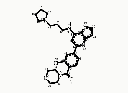 O=C(c1ccc(-c2cc(NCCCN3CCCC3)c3sccc3n2)cc1Cl)N1CCOCC1